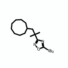 CC(C)(C)c1nc(C(C)(C)CC2CCCCCCCC2)no1